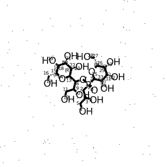 O=P(CC(O)CO)(OC(C(O)CO)C1O[C@H](CO)[C@@H](O)[C@H](O)[C@H]1O)C1O[C@H](CO)[C@@H](O)[C@H](O)[C@H]1O